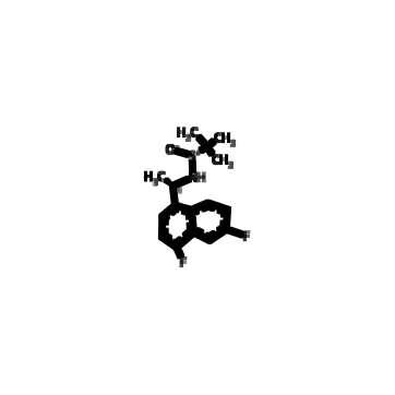 C[C@@H](N[S+]([O-])C(C)(C)C)c1ccc(F)c2cc(F)ccc12